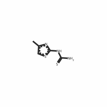 Cc1csc(NC(N)=S)n1